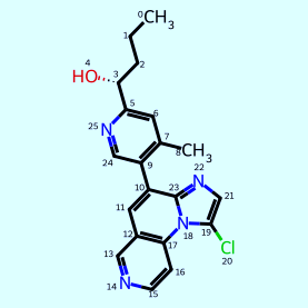 CCC[C@@H](O)c1cc(C)c(-c2cc3cnccc3n3c(Cl)cnc23)cn1